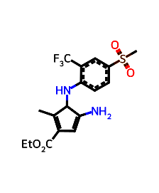 CCOC(=O)C1=C(C)C(Nc2ccc(S(C)(=O)=O)cc2C(F)(F)F)C(N)=C1